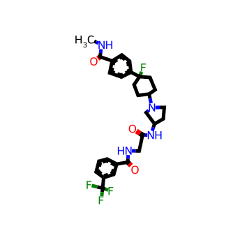 CNC(=O)c1ccc(C2(F)CCC(N3CCC(NC(=O)CNC(=O)c4cccc(C(F)(F)F)c4)C3)CC2)cc1